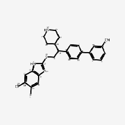 N#Cc1cccc(-c2ccc(C(CSc3nc4cc(F)c(Cl)cc4[nH]3)C3CCNCC3)cc2)c1